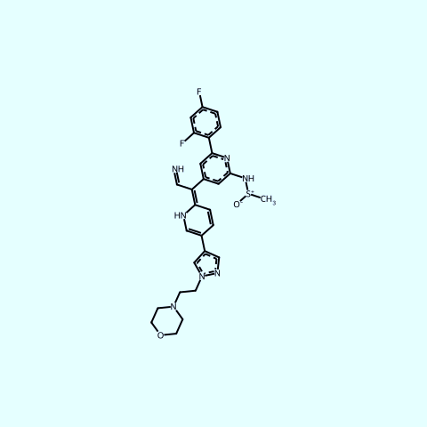 C[S+]([O-])Nc1cc(/C(C=N)=C2\C=CC(c3cnn(CCN4CCOCC4)c3)=CN2)cc(-c2ccc(F)cc2F)n1